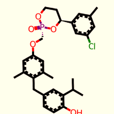 Cc1cc(Cl)cc([C@@H]2CCO[P@@](=O)(COc3cc(C)c(Cc4ccc(O)c(C(C)C)c4)c(C)c3)O2)c1